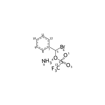 N.O=S(=O)(OC(Br)c1ccccc1)C(F)(F)F